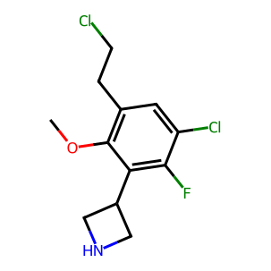 COc1c(CCCl)cc(Cl)c(F)c1C1CNC1